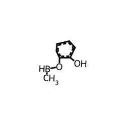 CBOc1ccccc1O